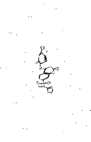 CC[C@@H]1C[C@@H](Oc2ccc(C(F)(F)F)cc2Cl)c2ccc(S(=O)(=O)Nc3nccs3)cc2O1